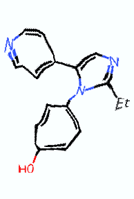 CCc1ncc(-c2ccncc2)n1-c1ccc(O)cc1